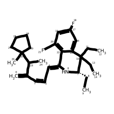 C=C(/C=C\C=C1/N[C@@H](CC)C(CC)(CC)c2cc(F)cc(F)c21)C(C)C1(C)CCCC1